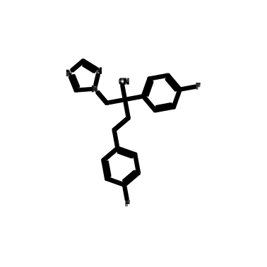 N#CC(CCc1ccc(F)cc1)(Cn1cncn1)c1ccc(F)cc1